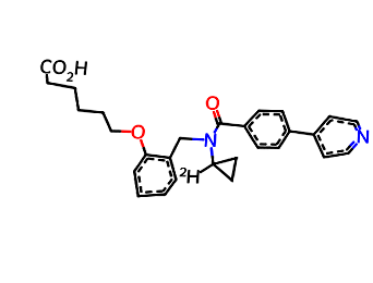 [2H]C1(N(Cc2ccccc2OCCCCCC(=O)O)C(=O)c2ccc(-c3ccncc3)cc2)CC1